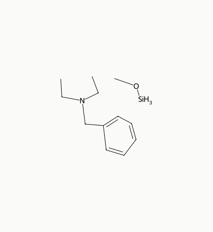 CCN(CC)Cc1ccccc1.CO[SiH3]